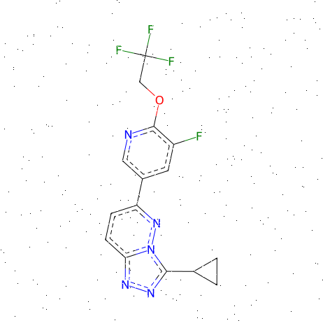 Fc1cc(-c2ccc3nnc(C4CC4)n3n2)cnc1OCC(F)(F)F